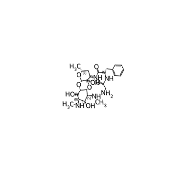 CN[C@@H]1[C@H](O)[C@H](NC)C2O[C@]3(O)C(OC2[C@@H]1O)O[C@H](C)C[C@H]3NC(=O)[C@H](Cc1ccccc1)NC(=O)CN